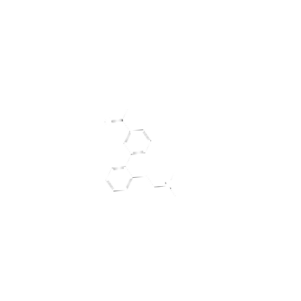 CC(=O)c1cccc(-c2ccccc2CCN(C)C)c1